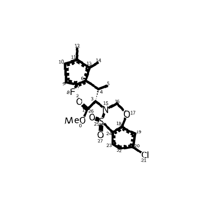 COC(=O)[C@H](C(C)c1c(F)ccc(C)c1C)N1COc2cc(Cl)ccc2S1(=O)=O